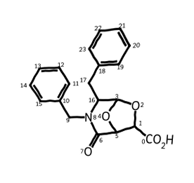 O=C(O)C1OC2OC1C(=O)N(Cc1ccccc1)C2Cc1ccccc1